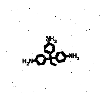 CCC(c1ccc(N)cc1)(c1ccc(N)cc1)c1ccc(N)cc1